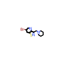 Brc1cnc2c(CN3CCCCC3)nsc2c1